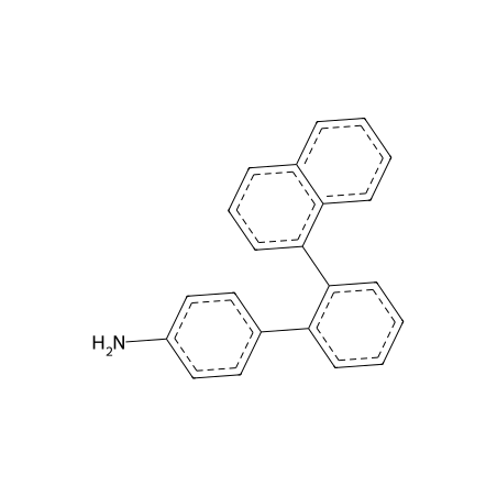 Nc1ccc(-c2ccccc2-c2cccc3ccccc23)cc1